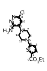 CCOC(=O)c1ccc(N2CCN(c3cc(Cl)nnc3N)CC2)s1